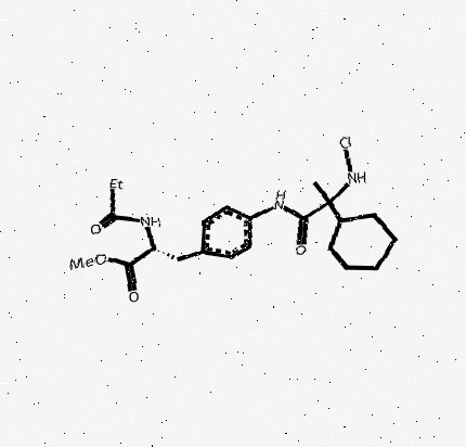 CCC(=O)N[C@H](Cc1ccc(NC(=O)C(C)(NCl)C2CCCCC2)cc1)C(=O)OC